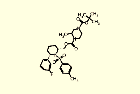 Cc1ccc(S(=O)(=O)N2[C@@H](COC(=O)N3CCN(C(=O)OC(C)(C)C)CC3C)CCC[C@H]2c2cccc(F)c2)cc1